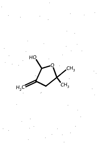 C=C1CC(C)(C)OC1O